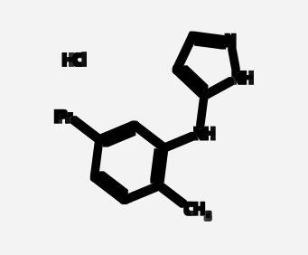 Cc1ccc(C(C)C)cc1Nc1ccn[nH]1.Cl